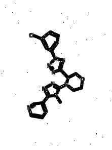 Cn1c(-c2cccnc2)nnc1N1CCOCC1c1nnn(-c2cccc(Cl)c2)n1